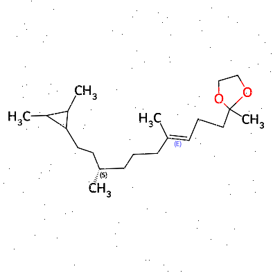 C/C(=C\CCC1(C)OCCO1)CCC[C@H](C)CCC1C(C)C1C